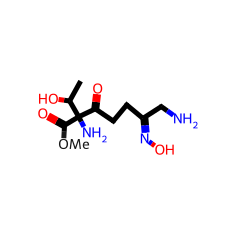 COC(=O)C(N)(C(=O)CCC(CN)=NO)C(C)O